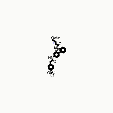 CCS(=O)(=O)c1ccc(CC(=O)Nc2ccc(-c3ccccc3NC(=O)/C=C/COC)c(C)c2)cc1